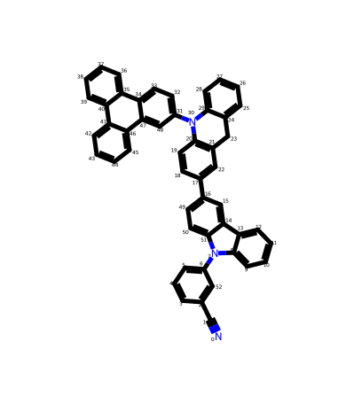 N#Cc1cccc(-n2c3ccccc3c3cc(-c4ccc5c(c4)Cc4ccccc4N5c4ccc5c6ccccc6c6ccccc6c5c4)ccc32)c1